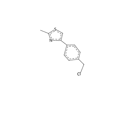 Cc1nc(-c2ccc(CCl)cc2)cs1